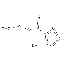 O=CNOC(=O)c1ccco1.[KH]